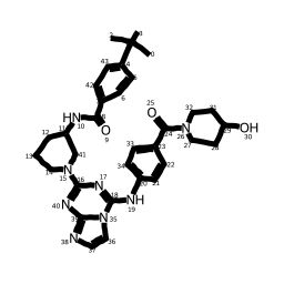 CC(C)(C)c1ccc(C(=O)NC2CCCN(c3nc(Nc4ccc(C(=O)N5CCC(O)CC5)cc4)n4ccnc4n3)C2)cc1